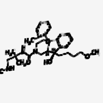 CNCC(C)(C)NC(=O)N1CCC[C@@H]([C@@](O)(CCCCOC)c2ccccc2Oc2ccccc2C)C1